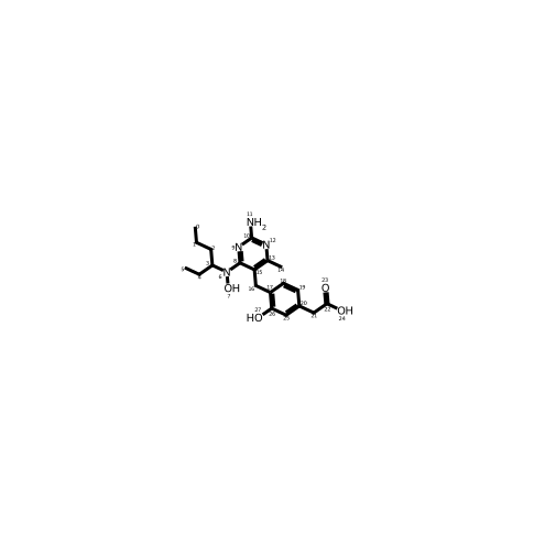 CCCC(CC)N(O)c1nc(N)nc(C)c1Cc1ccc(CC(=O)O)cc1O